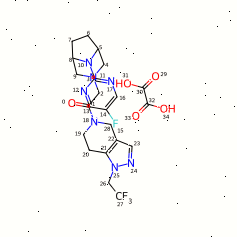 O=C(CN1CC2CCC(C1)N2c1ncc(F)cn1)N1CCc2c(cnn2CC(F)(F)F)C1.O=C(O)C(=O)O